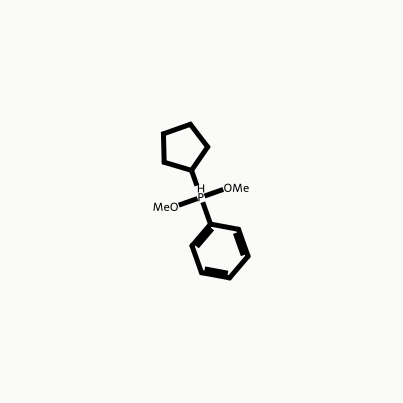 CO[PH](OC)(c1ccccc1)C1CCCC1